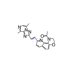 CC(=O)N1CCOc2ccc3ccc(/C=C/c4nc5c(C)ncc(C)n5n4)nc3c21